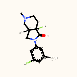 CN1CC[C@]2(F)C(=O)N(c3cc(F)cc(C(=O)O)c3)C[C@@H]2C1